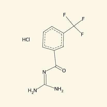 Cl.NC(N)=NC(=O)c1cccc(C(F)(F)F)c1